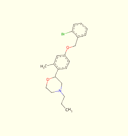 CCCN1CCOC(c2ccc(OCc3ccccc3Br)cc2C)C1